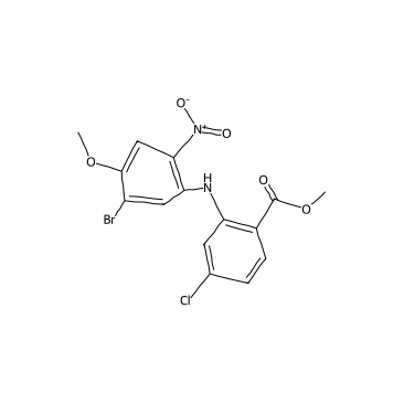 COC(=O)c1ccc(Cl)cc1Nc1cc(Br)c(OC)cc1[N+](=O)[O-]